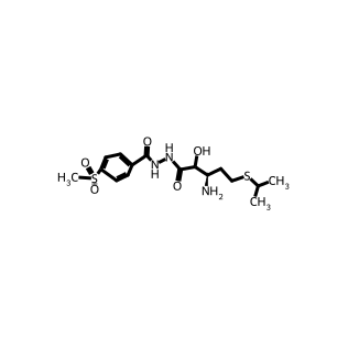 CC(C)SCC[C@@H](N)C(O)C(=O)NNC(=O)c1ccc(S(C)(=O)=O)cc1